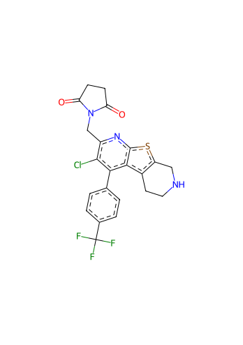 O=C1CCC(=O)N1Cc1nc2sc3c(c2c(-c2ccc(C(F)(F)F)cc2)c1Cl)CCNC3